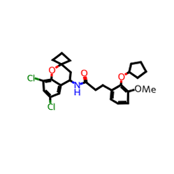 COc1cccc(CCC(=O)NC2CC3(CCC3)Oc3c(Cl)cc(Cl)cc32)c1OC1CCCC1